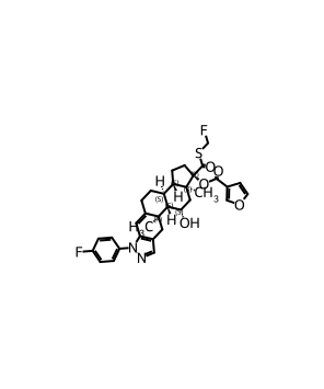 C[C@]12Cc3cnn(-c4ccc(F)cc4)c3C=C1CC[C@@H]1[C@@H]2[C@@H](O)C[C@@]2(C)[C@H]1CC[C@]2(OC(=O)c1ccoc1)C(=O)SCF